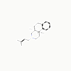 CC(C)=CCN1CC[C@H]2c3ccccc3CC[C@@H]2C1